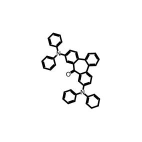 O=c1c2cc(N(C3=CCCC=C3)c3ccccc3)ccc2c2ccccc2c2ccc(N(c3ccccc3)c3ccccc3)cc12